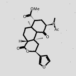 COC(=O)[C@@H]1C[C@@H](N(C)C(C)=O)C(=O)C2[C@@]1(C)CC[C@H]1C(=O)O[C@H](c3ccoc3)C[C@]21C